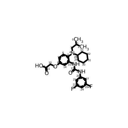 CC(C)CN(c1ccc(OCC(=O)O)cc1NC(=O)Nc1cc(F)cc(F)c1)C1CCCCC1